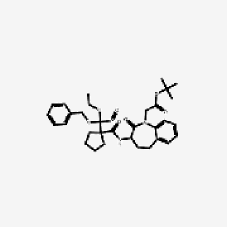 CCOC(OCc1ccccc1)([PH2]=O)C1(C(=O)NC2CCc3ccccc3N(CC(=O)OC(C)(C)C)C2=O)CCCC1